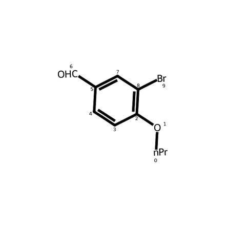 CCCOc1ccc(C=O)cc1Br